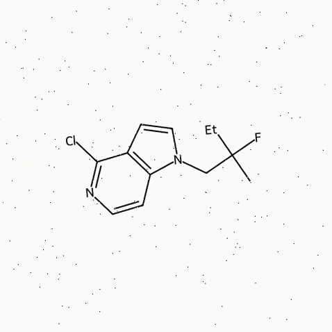 CCC(C)(F)Cn1ccc2c(Cl)nccc21